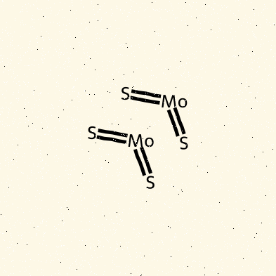 [S]=[Mo]=[S].[S]=[Mo]=[S]